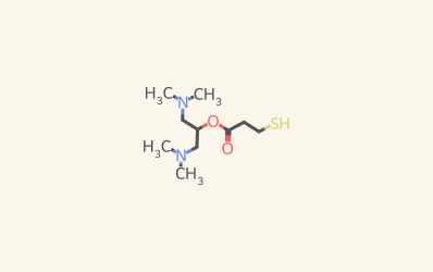 CN(C)CC(CN(C)C)OC(=O)CCS